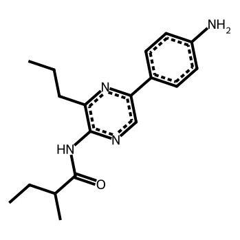 CCCc1nc(-c2ccc(N)cc2)cnc1NC(=O)C(C)CC